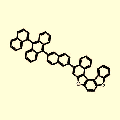 c1ccc2c(-c3c4ccccc4c(-c4ccc5cc(-c6cc7oc8ccc9sc%10ccccc%10c9c8c7c7ccccc67)ccc5c4)c4ccccc34)cccc2c1